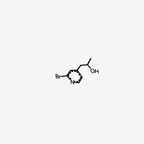 CC(O)Cc1ccnc(Br)c1